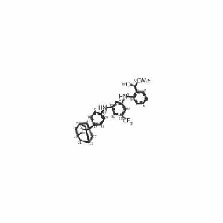 COC(O)c1ccccc1Nc1cc(Nc2ccc(C34CC5CC(CC(C5)C3)C4)cc2)cc(C(F)(F)F)c1